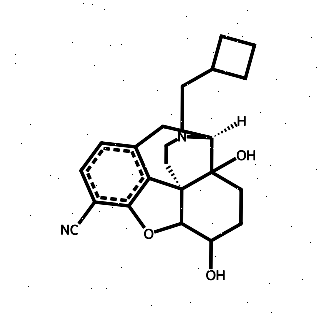 N#Cc1ccc2c3c1OC1C(O)CCC4(O)[C@H](C2)N(CC2CCC2)CC[C@@]314